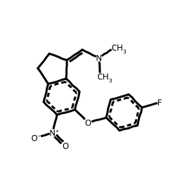 CN(C)/C=C1/CCc2cc([N+](=O)[O-])c(Oc3ccc(F)cc3)cc21